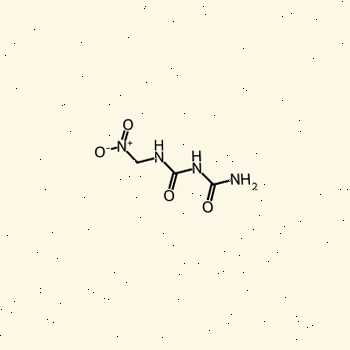 NC(=O)NC(=O)NC[N+](=O)[O-]